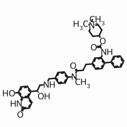 CN(C(=O)CCc1ccc(-c2ccccc2)c(NC(=O)OC2CC[N+](C)(C)CC2)c1)c1ccc(CNC[C@@H](O)c2ccc(O)c3[nH]c(=O)ccc23)cc1